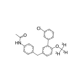 [2H]C([2H])([2H])Oc1ccc(Cc2ccc(NC(C)=O)cc2)cc1-c1cccc(Cl)c1